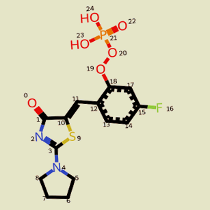 O=C1N=C(N2CCCC2)S/C1=C\c1ccc(F)cc1OOP(=O)(O)O